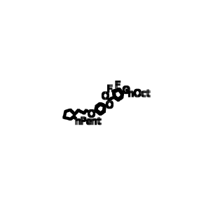 CCCCCCCCOc1ccc(C(=O)Oc2ccc(OCCCC3CCCCC3CCCCC)cc2)c(F)c1F